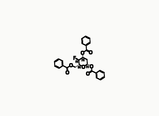 O=C(OC[C@H]1O[C@@H](OC(=O)c2ccccc2)C[C@@H](OC(=O)c2ccccc2)[C@@H]1F)c1ccccc1